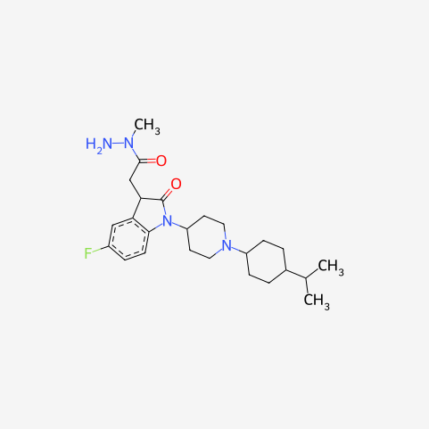 CC(C)C1CCC(N2CCC(N3C(=O)C(CC(=O)N(C)N)c4cc(F)ccc43)CC2)CC1